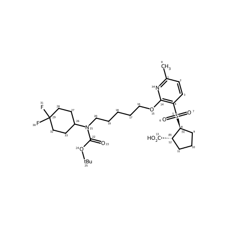 Cc1ccc(S(=O)(=O)[C@H]2CCC[C@@H]2C(=O)O)c(OCCCCCN(C(=O)OC(C)(C)C)C2CCC(F)(F)CC2)n1